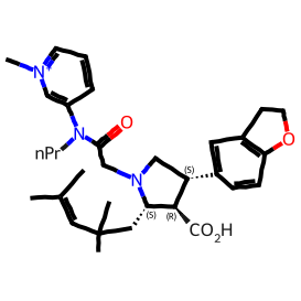 CCCN(C(=O)CN1C[C@H](c2ccc3c(c2)CCO3)[C@@H](C(=O)O)[C@@H]1CC(C)(C)C=C(C)C)c1ccc[n+](C)c1